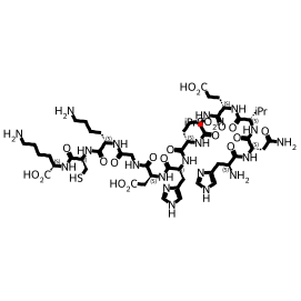 CC(C)[C@H](NC(=O)[C@H](CCC(=O)O)NC(=O)[C@@H](NC(=O)[C@H](CC(N)=O)NC(=O)[C@@H](N)Cc1c[nH]cn1)C(C)C)C(=O)N[C@@H](CCC(=O)O)C(=O)N[C@@H](Cc1c[nH]cn1)C(=O)N[C@@H](CC(=O)O)C(=O)NCC(=O)N[C@@H](CCCCN)C(=O)N[C@@H](CS)C(=O)N[C@@H](CCCCN)C(=O)O